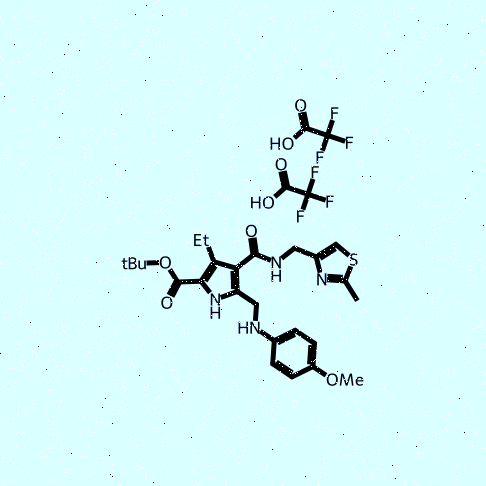 CCc1c(C(=O)OC(C)(C)C)[nH]c(CNc2ccc(OC)cc2)c1C(=O)NCc1csc(C)n1.O=C(O)C(F)(F)F.O=C(O)C(F)(F)F